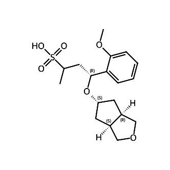 COc1ccccc1[C@@H](CC(C)S(=O)(=O)O)O[C@@H]1C[C@H]2COC[C@H]2C1